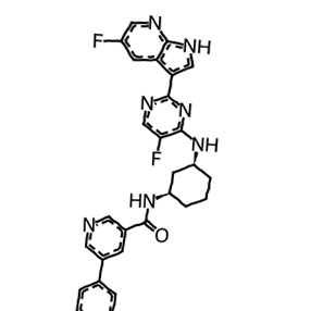 O=C(N[C@@H]1CCC[C@H](Nc2nc(-c3c[nH]c4ncc(F)cc34)ncc2F)C1)c1cncc(-c2ccccc2)c1